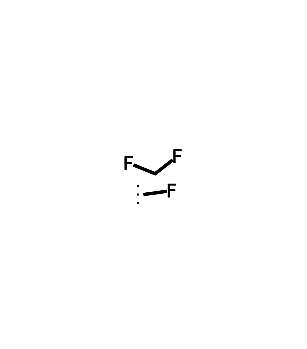 FCF.[C]F